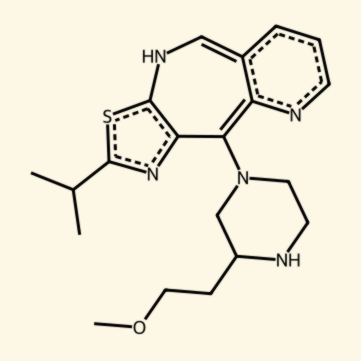 COCCC1CN(C2=c3ncccc3=CNc3sc(C(C)C)nc32)CCN1